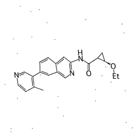 CCO[C@@H]1CC1C(=O)Nc1cc2ccc(-c3cnccc3C)cc2cn1